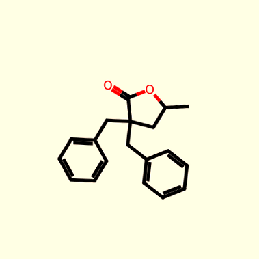 CC1CC(Cc2ccccc2)(Cc2ccccc2)C(=O)O1